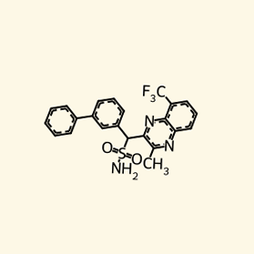 Cc1nc2cccc(C(F)(F)F)c2nc1C(c1cccc(-c2ccccc2)c1)S(N)(=O)=O